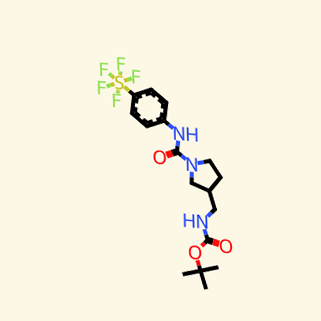 CC(C)(C)OC(=O)NCC1CCN(C(=O)Nc2ccc(S(F)(F)(F)(F)F)cc2)C1